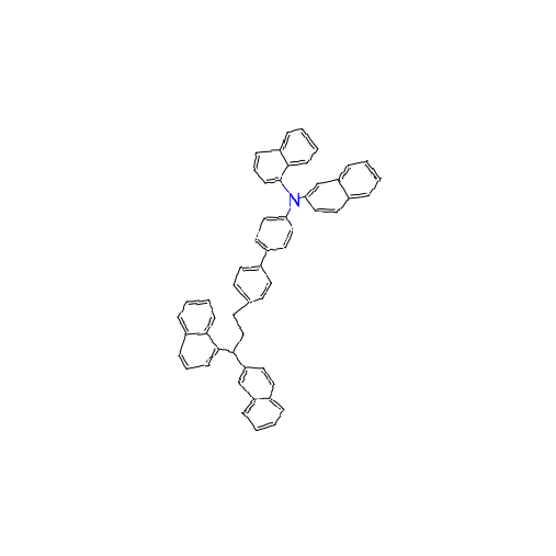 c1ccc2cc(C(CCc3ccc(-c4ccc(N(c5ccc6ccccc6c5)c5cccc6ccccc56)cc4)cc3)c3cccc4ccccc34)ccc2c1